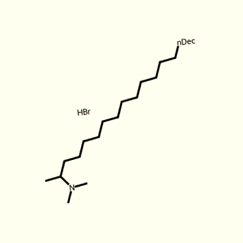 Br.CCCCCCCCCCCCCCCCCCCCCCC(C)N(C)C